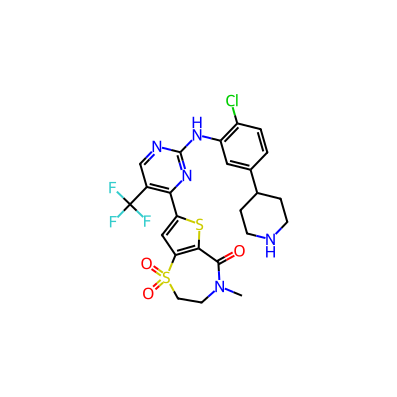 CN1CCS(=O)(=O)c2cc(-c3nc(Nc4cc(C5CCNCC5)ccc4Cl)ncc3C(F)(F)F)sc2C1=O